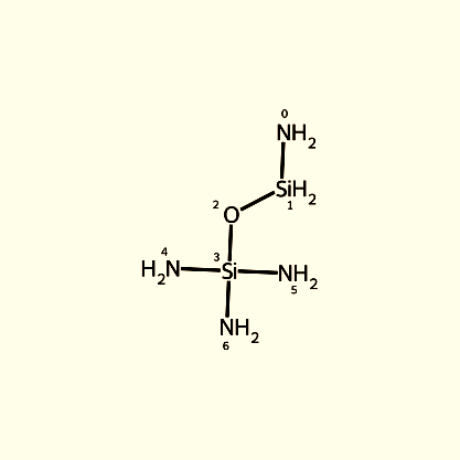 N[SiH2]O[Si](N)(N)N